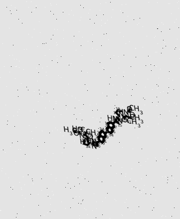 COC(=O)N[C@H](C(=O)N1CCC[C@H]1c1ncc(-c2ccc3cc(-c4ccc5cc(-c6cnc([C@@H]7CCCN7C(=O)[C@@H](NC(=O)OC)C(C)C)[nH]6)ccc5c4)ccc3c2)[nH]1)C(C)C